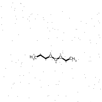 CCCOOOCC